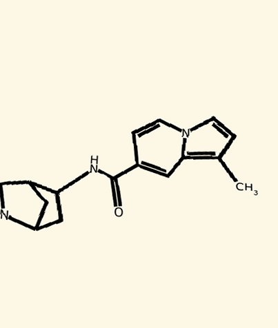 Cc1ccn2ccc(C(=O)NC3CC4CC3CN4)cc12